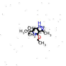 CCOc1nc([Si](C)(C)C)cc2[nH]nc(C)c12